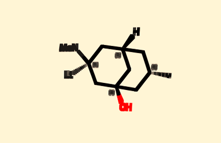 CC[C@]1(NC)C[C@@H]2C[C@H](C)C[C@@](O)(C2)C1